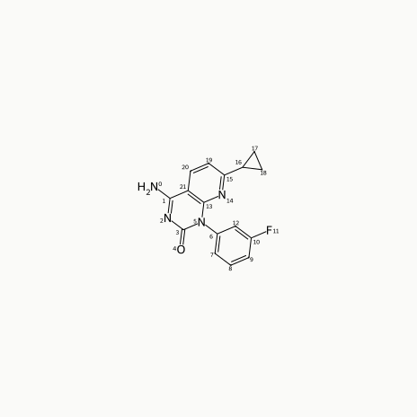 Nc1nc(=O)n(-c2cccc(F)c2)c2nc(C3CC3)ccc12